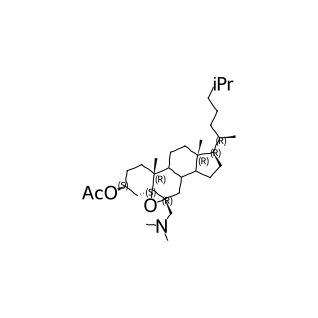 CC(=O)O[C@H]1CC[C@]2(C)C3CC[C@@]4(C)C(CC[C@@H]4[C@H](C)CCCC(C)C)C3C[C@]3(CN(C)C)O[C@]32C1